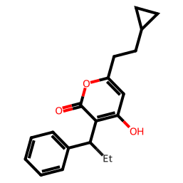 CCC(c1ccccc1)c1c(O)cc(CCC2CC2)oc1=O